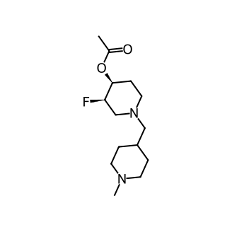 CC(=O)O[C@H]1CCN(CC2CCN(C)CC2)C[C@H]1F